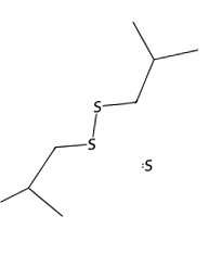 CC(C)CSSCC(C)C.[S]